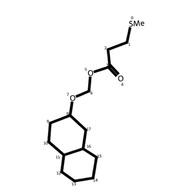 CSCCC(=O)OCOC1CCC2CCCCC2C1